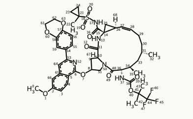 COc1ccc2c(OC3C[C@H]4C(=O)N[C@]5(C(=O)NS(=O)(=O)C6(C)CC6)C[C@H]5/C=C\CC[C@H](C)C[C@@H](C)[C@H](NC(=O)OC(C)(C)C(F)(F)F)C(=O)N4C3)nc(-c3ccc4c(c3)OCCO4)cc2c1